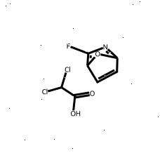 Fc1nc2ccc1o2.O=C(O)C(Cl)Cl